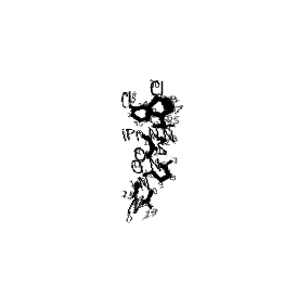 CC(C)C1=C(C(=O)N2[C@@H](C)CC[C@H]2C(=O)N2CCN(C)[C@H](C)C2)SC2=N[C@@](C)(c3ccc(Cl)cc3)[C@@H](c3ccc(Cl)cc3)N21